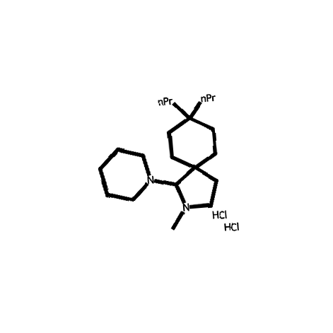 CCCC1(CCC)CCC2(CCN(C)C2N2CCCCC2)CC1.Cl.Cl